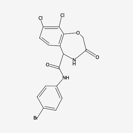 O=C1COc2c(ccc(Cl)c2Cl)C(C(=O)Nc2ccc(Br)cc2)N1